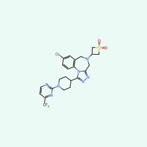 O=S1(=O)CC(N2Cc3cc(Cl)ccc3-n3c(nnc3C3CCN(c4nccc(C(F)(F)F)n4)CC3)C2)C1